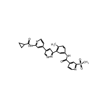 Cc1ccc(NC(=O)c2ccnc(S(C)(=O)=O)c2)cc1-c1cc(-c2ccnc(NC(=O)C3CC3)c2)cnn1